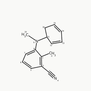 Cc1c(C#N)cccc1N(C)C1C=CC=CC1